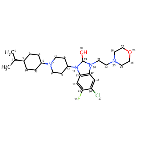 CC(C)[C@H]1CC[C@@H](N2CCC(N3c4cc(F)c(Cl)cc4N(CCN4CCOCC4)C3O)CC2)CC1